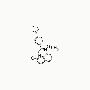 CON=C(Cn1c(=O)ccc2ccccc21)c1ccc(N2CCCC2)cc1